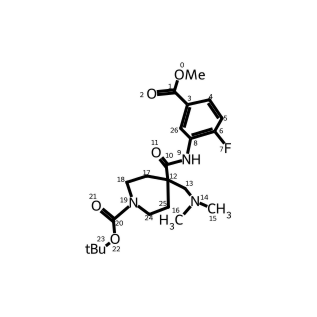 COC(=O)c1ccc(F)c(NC(=O)C2(CN(C)C)CCN(C(=O)OC(C)(C)C)CC2)c1